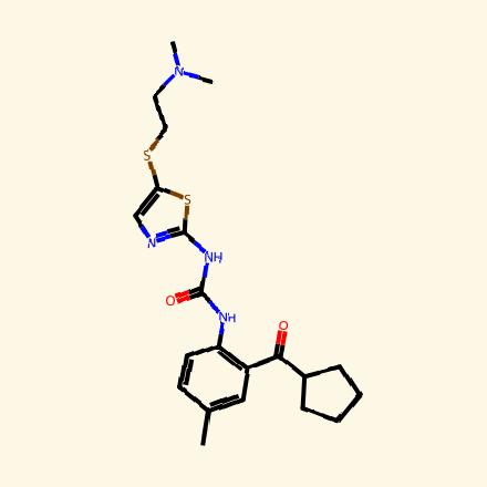 Cc1ccc(NC(=O)Nc2ncc(SCCN(C)C)s2)c(C(=O)C2CCCC2)c1